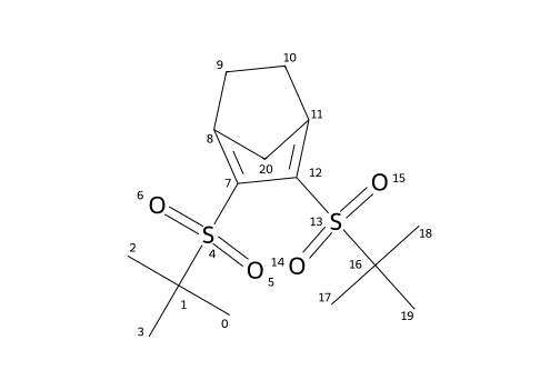 CC(C)(C)S(=O)(=O)C1=C2CCC(=C1S(=O)(=O)C(C)(C)C)C2